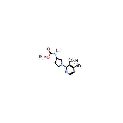 CCN(C(=O)OC(C)(C)C)C1CCN(c2nccc(C(C)C)c2C(=O)O)C1